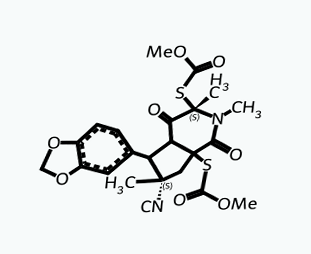 COC(=O)SC12C[C@](C)(C#N)C(c3ccc4c(c3)OCO4)C1C(=O)[C@](C)(SC(=O)OC)N(C)C2=O